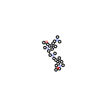 c1ccc(N(c2ccccc2)c2ccc3cc4c(cc3c2)C2(c3ccccc3-c3ccccc32)c2cc(N(c3ccccc3)c3ccc(-c5cccc(N(c6ccccc6)c6ccc7cc8c(cc7c6)C6(c7ccccc7-c7ccccc76)c6cc(N(c7ccccc7)c7ccccc7)c7c(ccc9c%10ccccc%10oc97)c6-8)c5)cc3)c3cc5c(cc3c2-4)oc2ccccc25)cc1